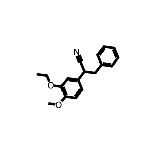 CCOc1cc(C(C#N)Cc2ccccc2)ccc1OC